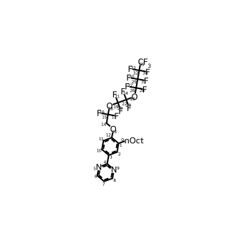 CCCCCCCCc1cc(-c2ncccn2)ccc1OCC(F)(F)OC(F)(F)C(F)(F)OC(F)(F)C(F)(F)C(F)(F)C(F)(F)F